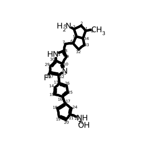 CC1CC(N)C2C(Cc3cc4nc(-c5ccc(-c6cccc(NO)c6)cc5)c(F)cc4[nH]3)CCC12